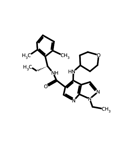 CC[C@@H](NC(=O)c1cnc2c(cnn2CC)c1NC1CCOCC1)c1c(C)cccc1C